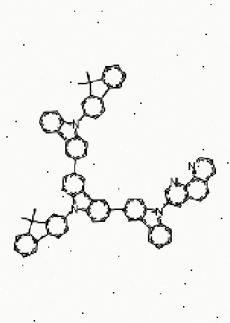 CC1(C)c2ccccc2-c2ccc(-n3c4ccccc4c4cc(-c5ccc6c(c5)c5cc(-c7ccc8c(c7)c7ccccc7n8-c7cnc8c(ccc9cccnc98)c7)ccc5n6-c5ccc6c(c5)C(C)(C)c5ccccc5-6)ccc43)cc21